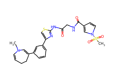 CN1C=CCCC(c2cccc(-c3csc(NC(=O)CNC(=O)c4ccn(S(C)(=O)=O)c4)n3)c2)=C1